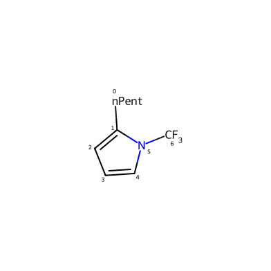 CCCCCc1cccn1C(F)(F)F